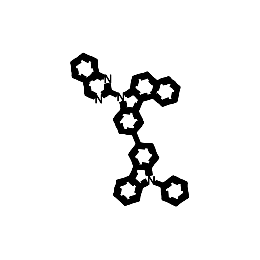 c1ccc(-n2c3ccccc3c3cc(-c4ccc5c(c4)c4c6ccccc6ccc4n5-c4ncc5ccccc5n4)ccc32)cc1